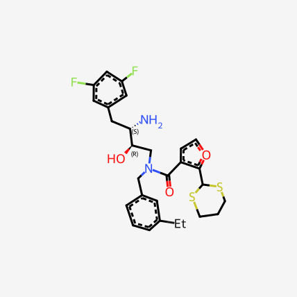 CCc1cccc(CN(C[C@@H](O)[C@@H](N)Cc2cc(F)cc(F)c2)C(=O)c2ccoc2C2SCCCS2)c1